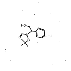 CC(C)(C)ON(C=O)C(CO)c1ccc(Cl)cc1